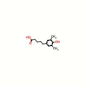 Cc1cc(CCCCC(=O)O)cc(C)c1O